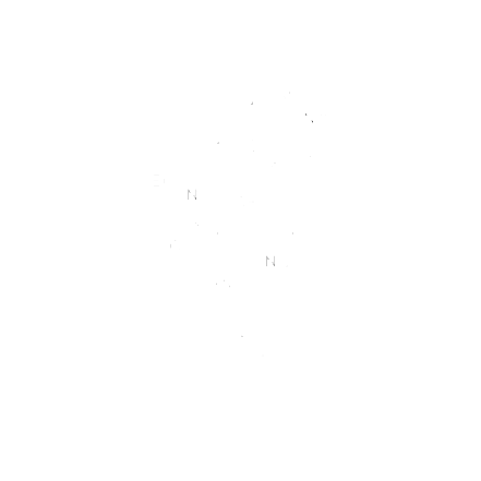 CCn1c(=O)/c(=C2\Sc3cc(C)ccc3N2C)s/c1=C\c1ccncc1